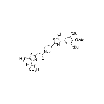 COc1c(C(C)(C)C)cc(-c2nc(C3CCN(C(=O)Cc4nc(C(F)(F)C(=O)O)c(C)s4)CC3)sc2Cl)cc1C(C)(C)C